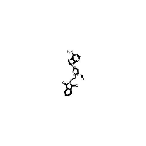 Nc1ncnc2c1ncn2[C@H]1C[C@H](C=O)[C@@H](CON2C(=O)c3ccccc3C2=O)O1